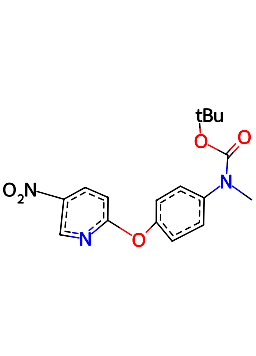 CN(C(=O)OC(C)(C)C)c1ccc(Oc2ccc([N+](=O)[O-])cn2)cc1